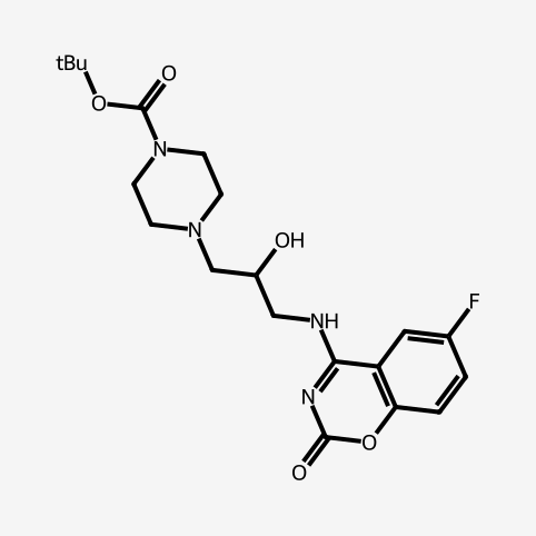 CC(C)(C)OC(=O)N1CCN(CC(O)CNc2nc(=O)oc3ccc(F)cc23)CC1